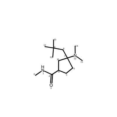 CNC(=O)C1CCC(CC(C)(C)C)(N(C)C)C1